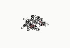 CC(=O)N[C@H](Cc1ccc2ccccc2c1)C(=O)N[C@H](Cc1ccc(Cl)cc1)C(O)N[C@H](Cc1cccnc1)C(=O)N[C@@H](CO)C(=O)N[C@@H](Cc1ccc(O)cc1)C(=O)N[C@H](CCCNC(N)=O)C(=O)N[C@@H](CC(C)C)C(=O)N[C@@H](CCCNC(=N)N)C(=O)N1CCC[C@H]1C(=O)N[C@H](C)C(=O)O